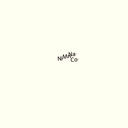 [Co].[Mn].[Na].[Ni]